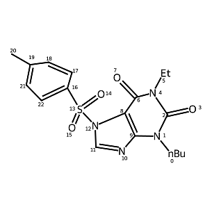 CCCCn1c(=O)n(CC)c(=O)c2c1ncn2S(=O)(=O)c1ccc(C)cc1